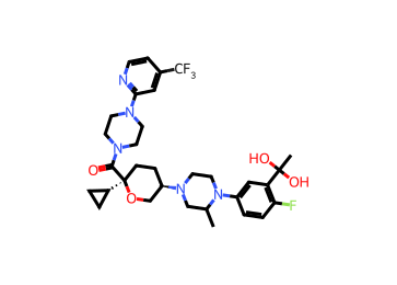 CC1CN([C@@H]2CC[C@@](C(=O)N3CCN(c4cc(C(F)(F)F)ccn4)CC3)(C3CC3)OC2)CCN1c1ccc(F)c(C(C)(O)O)c1